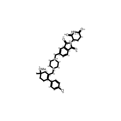 COC1(C)CCC(c2ccc(Cl)cc2)=C(CN2CCN(Cc3ccc4c(c3)C(=O)N(C3CCC(=O)NC3=O)C4=O)CC2)C1